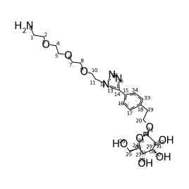 NCCOCCOCCOCCn1cc(-c2ccc(CCO[C@@H]3O[C@H](CO)[C@@H](O)[C@H](O)[C@H]3O)cc2)nn1